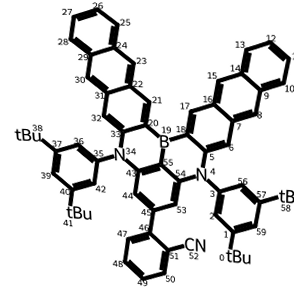 CC(C)(C)c1cc(N2c3cc4cc5ccccc5cc4cc3B3c4cc5cc6ccccc6cc5cc4N(c4cc(C(C)(C)C)cc(C(C)(C)C)c4)c4cc(-c5ccccc5C#N)cc2c43)cc(C(C)(C)C)c1